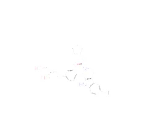 O=C(OC1CCCC1)N1CCc2c([nH]c3ccc(Cl)cc23)[C@@H]1c1ccc(OC[C@@H](O)CO)cc1